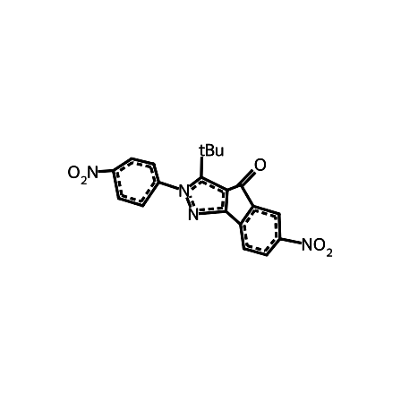 CC(C)(C)c1c2c(nn1-c1ccc([N+](=O)[O-])cc1)-c1ccc([N+](=O)[O-])cc1C2=O